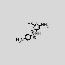 Nc1ccc(S(=O)(=O)Nc2cc(N)nc(S)n2)cc1